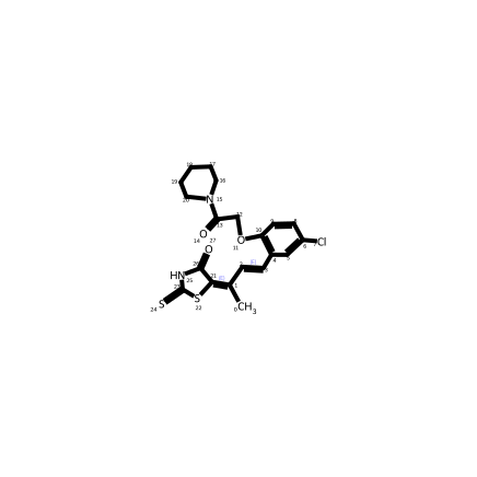 CC(/C=C/c1cc(Cl)ccc1OCC(=O)N1CCCCC1)=C1\SC(=S)NC1=O